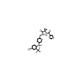 O=C(NC1(C(=O)NCc2ccc(Nc3ccc(Cl)cc3C(F)(F)F)cn2)CC1)c1cncs1